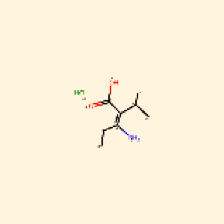 CCC(N)=C(C(=O)O)C(C)C.Cl